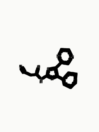 N#CCC(=O)Nc1nc(-c2ccccc2)c(-c2cnccn2)s1